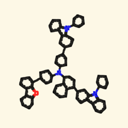 c1ccc(-n2c3ccccc3c3cc(-c4ccc(N(c5ccc(-c6cccc7c6oc6ccccc67)cc5)c5ccc(-c6ccc7c8ccccc8n(-c8ccccc8)c7c6)c6ccccc56)cc4)ccc32)cc1